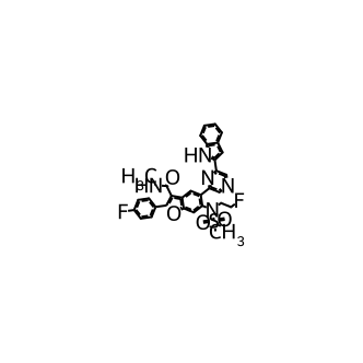 CNC(=O)c1c(-c2ccc(F)cc2)oc2cc(N(CCF)S(C)(=O)=O)c(-c3cncc(-c4cc5ccccc5[nH]4)n3)cc12